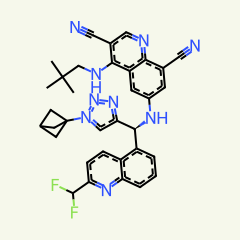 CC(C)(C)CNc1c(C#N)cnc2c(C#N)cc(N[C@H](c3cn(C45CC(C4)C5)nn3)c3cccc4nc(C(F)F)ccc34)cc12